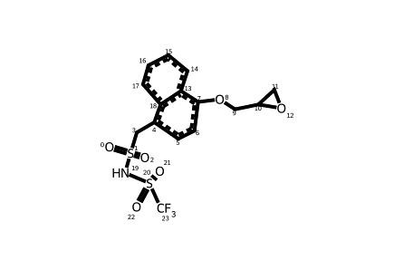 O=S(=O)(Cc1ccc(OCC2CO2)c2ccccc12)NS(=O)(=O)C(F)(F)F